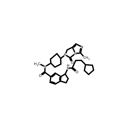 Cc1ncc2n1C(=O)N(C1CCC(N(C)C(=O)c3ccc4c(c3)C(NC(=O)CCC3CCCC3)CC4)CC1)C2